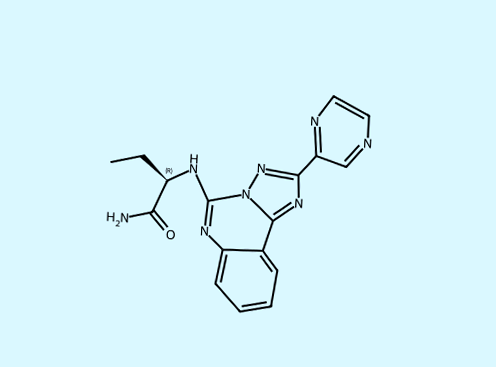 CC[C@@H](Nc1nc2ccccc2c2nc(-c3cnccn3)nn12)C(N)=O